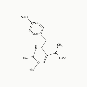 COc1ccc(CC(NC(=O)OC(C)(C)C)C(=O)N(C)OC)cc1